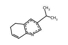 CC(C)c1cnc2c(c1)CCC=C2